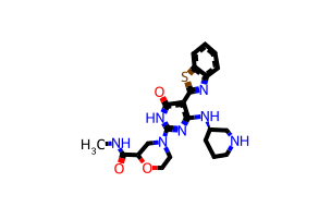 CNC(=O)C1CN(c2nc(N[C@@H]3CCCNC3)c(-c3nc4ccccc4s3)c(=O)[nH]2)CCO1